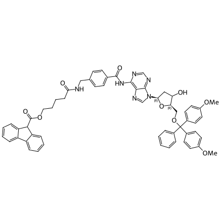 COc1ccc(C(OC[C@H]2O[C@@H](n3cnc4c(NC(=O)c5ccc(CNC(=O)CCCCOC(=O)C6c7ccccc7-c7ccccc76)cc5)ncnc43)CC2O)(c2ccccc2)c2ccc(OC)cc2)cc1